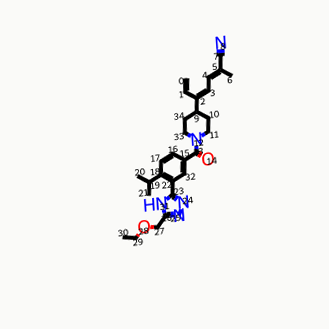 C=C/C(=C\C=C(/C)C#N)C1CCN(C(=O)c2ccc(C(C)C)c(-c3nnc(COCC)[nH]3)c2)CC1